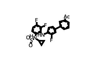 CC(=O)c1cccc(-c2ccc(Nc3c(N(C4CC4)[SH](=O)=O)ccc(F)c3F)c(F)c2)c1